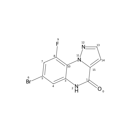 O=c1[nH]c2cc(Br)cc(F)c2n2nccc12